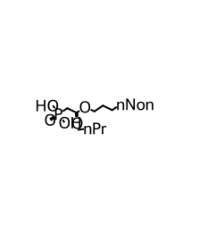 CCCC.CCCCCCCCCCCCOC(=O)CP(=O)(O)O